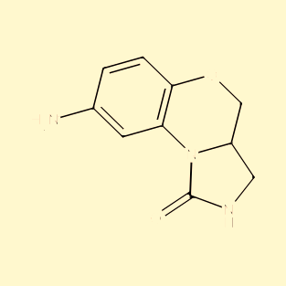 Nc1ccc2c(c1)N1C(=O)NCC1CO2